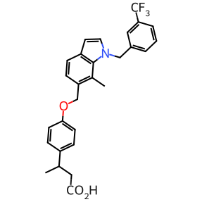 Cc1c(COc2ccc(C(C)CC(=O)O)cc2)ccc2ccn(Cc3cccc(C(F)(F)F)c3)c12